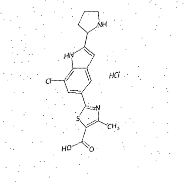 Cc1nc(-c2cc(Cl)c3[nH]c(C4CCCN4)cc3c2)sc1C(=O)O.Cl